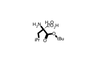 CC(C)C[C@](N)(C(=O)O)C(=O)OC(C)(C)C.O